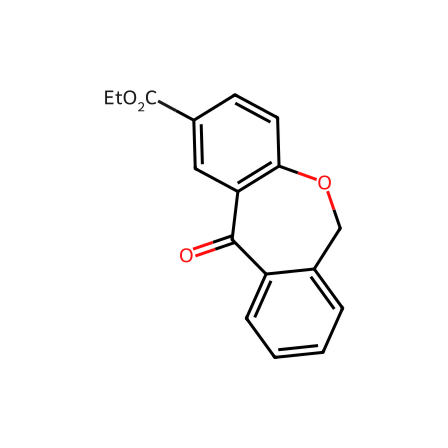 CCOC(=O)c1ccc2c(c1)C(=O)c1ccccc1CO2